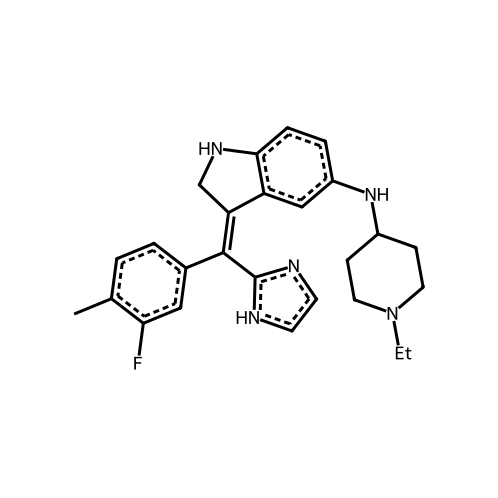 CCN1CCC(Nc2ccc3c(c2)C(=C(c2ccc(C)c(F)c2)c2ncc[nH]2)CN3)CC1